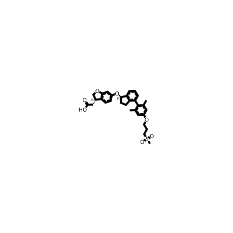 Cc1cc(OCCCS(C)(=O)=O)cc(C)c1-c1cccc2c1CC[C@H]2Oc1ccc2c(c1)OC[C@H]2CC(=O)O